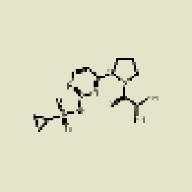 N=C(S)C(=O)N1CCC[C@@H]1c1ccnc(NS(=O)(=O)C2CC2)n1